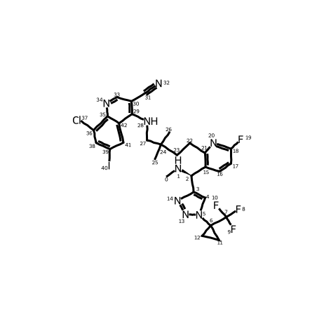 CN[C@H](c1cn(C2(C(F)(F)F)CC2)nn1)c1ccc(F)nc1CCC(C)(C)CNc1c(C#N)cnc2c(Cl)cc(I)cc12